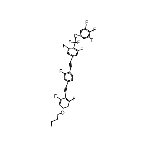 CCCCOC1C=C(F)C(C#Cc2ccc(C#Cc3cc(F)c(C(F)(F)Oc4cc(F)c(F)c(F)c4)c(F)c3)c(F)c2)=C(F)C1